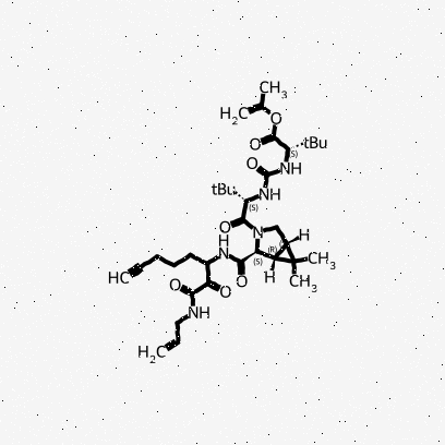 C#CCCCC(NC(=O)[C@@H]1[C@@H]2[C@H](CN1C(=O)[C@@H](NC(=O)N[C@H](C(=O)OC(=C)C)C(C)(C)C)C(C)(C)C)C2(C)C)C(=O)C(=O)NCC=C